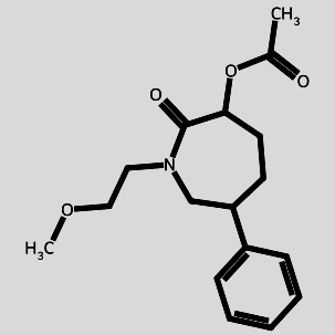 COCCN1CC(c2ccccc2)CCC(OC(C)=O)C1=O